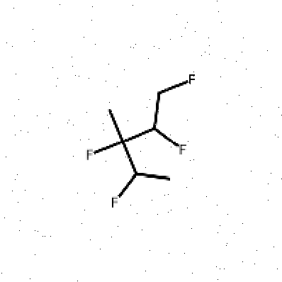 CC(F)C(C)(F)C(F)CF